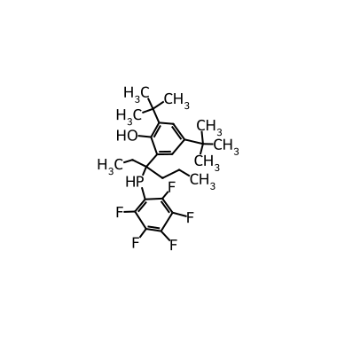 CCCC(CC)(Pc1c(F)c(F)c(F)c(F)c1F)c1cc(C(C)(C)C)cc(C(C)(C)C)c1O